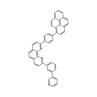 c1cncc(-c2cccc(-c3ccc4ccc5ccc(-c6ccc(-c7ccc8ccc9cccc%10ccc7c8c9%10)cc6)nc5c4n3)c2)c1